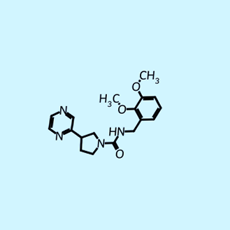 COc1cccc(CNC(=O)N2CCC(c3cnccn3)C2)c1OC